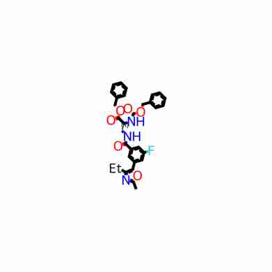 CCc1nc(C)oc1-c1cc(F)cc(C(=O)NC[C@@H](NC(=O)OCc2ccccc2)C(=O)OCc2ccccc2)c1